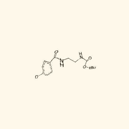 CC(C)(C)OC(=O)NCCNC(=O)c1ccc(Cl)cc1